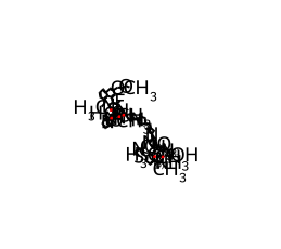 CCc1cccc2cc(OCOC)cc(-c3ncc4c(N5CC6CCC(C5)N6C(=O)OC(C)(C)C)nc(N5CC(N6CCC(CC7CN(c8cc([C@H](C(=O)N9C[C@H](O)C[C@H]9C(=O)N[C@@H](C)c9ccc(-c%10scnc%10C)cc9)C(C)C)on8)C7)CC6)C5)nc4c3F)c12